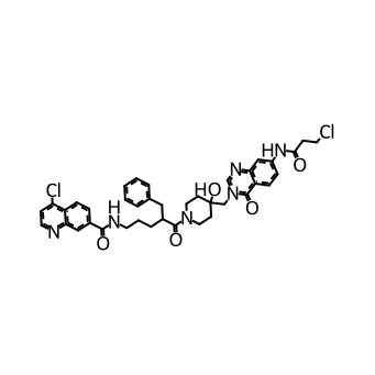 O=C(CCCl)Nc1ccc2c(=O)n(CC3(O)CCN(C(=O)C(CCCNC(=O)c4ccc5c(Cl)ccnc5c4)Cc4ccccc4)CC3)cnc2c1